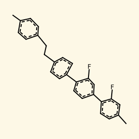 Cc1ccc(CCc2ccc(-c3ccc(-c4ccc(C)cc4F)cc3F)cc2)cc1